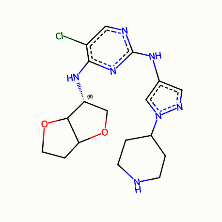 Clc1cnc(Nc2cnn(C3CCNCC3)c2)nc1N[C@@H]1COC2CCOC21